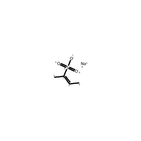 CC=C(C)S(=O)(=O)[O-].[Na+]